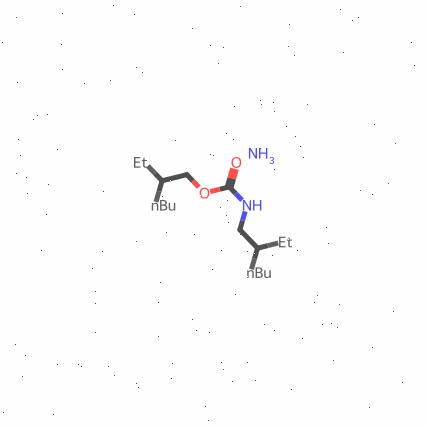 CCCCC(CC)CNC(=O)OCC(CC)CCCC.N